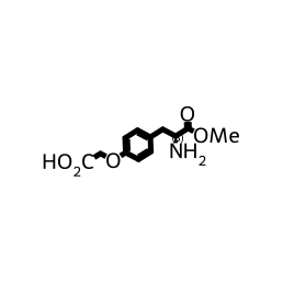 COC(=O)[C@@H](N)Cc1ccc(OCC(=O)O)cc1